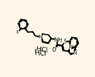 Cl.Cl.O=C(NC1CCN(CCCc2ccccc2F)CC1)C1=Cc2cnc3cccc(n23)S1